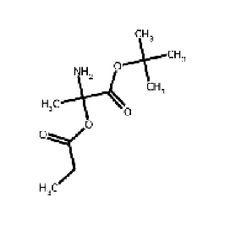 CCC(=O)OC(C)(N)C(=O)OC(C)(C)C